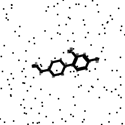 CC(C)(C)ON1CCN(c2ccc(Br)cc2C#N)CC1